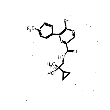 C[C@@](O)(CNC(=O)c1cnc(Br)c(-c2ccc(C(F)(F)F)cc2)n1)C1CC1